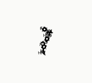 Cc1cc(-c2ccc3c(Oc4ccc(NC(=O)C5(C(=O)Nc6ccc(F)cc6)CC5)cc4)ccnc3c2)n[nH]1